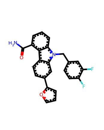 NC(=O)c1cccc2c1c1[c]cc(-c3ccco3)cc1n2Cc1ccc(F)c(F)c1